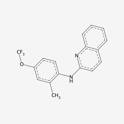 Cc1cc(OC(F)(F)F)ccc1Nc1ccc2ccccc2n1